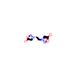 [O-]c1c[n+](CC[n+]2cc([O-])on2)no1